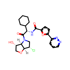 O=C(N[C@H](C(=O)N1C[C@H](Cl)[C@H]2OC[C@H](O)[C@H]21)C1CCCCC1)c1ccc(-c2cccnn2)o1